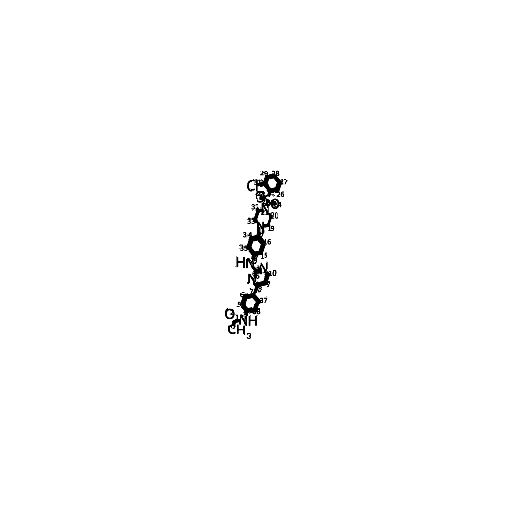 CC(=O)Nc1ccc(-c2ccnc(Nc3ccc(N4CCN(S(=O)(=O)c5ccccc5Cl)CC4)cc3)n2)cc1